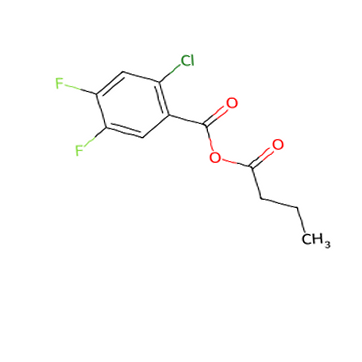 CCCC(=O)OC(=O)c1cc(F)c(F)cc1Cl